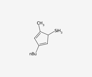 CCCCC1=CC([SiH3])C(C)=C1